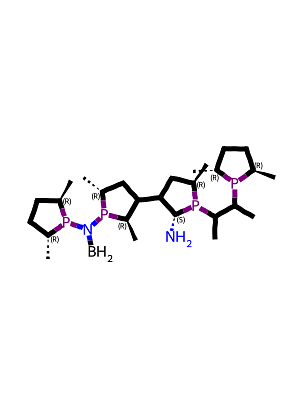 BN(P1[C@H](C)CC[C@H]1C)P1[C@H](C)CC(C2C[C@@H](C)P(C(C)C(C)P3[C@H](C)CC[C@H]3C)[C@@H]2N)[C@H]1C